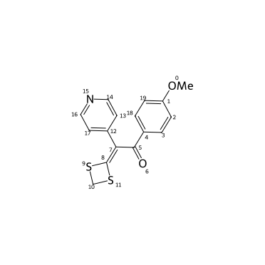 COc1ccc(C(=O)C(=C2SCS2)c2ccncc2)cc1